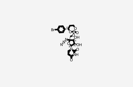 [N-]=[N+]=N[C@]1(COP2(=O)OCC[C@@H](c3ccc(Br)cc3)O2)O[C@@H](n2ccc(=O)[nH]c2=O)[C@H](O)[C@@H]1O